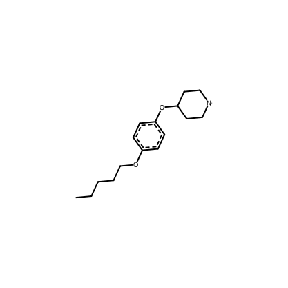 CCCCCOc1ccc(OC2CC[N]CC2)cc1